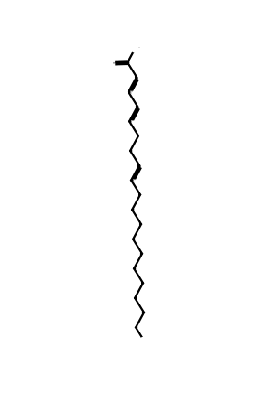 CCCCCCCCCCCC=CCCC=CC=CC(=O)O